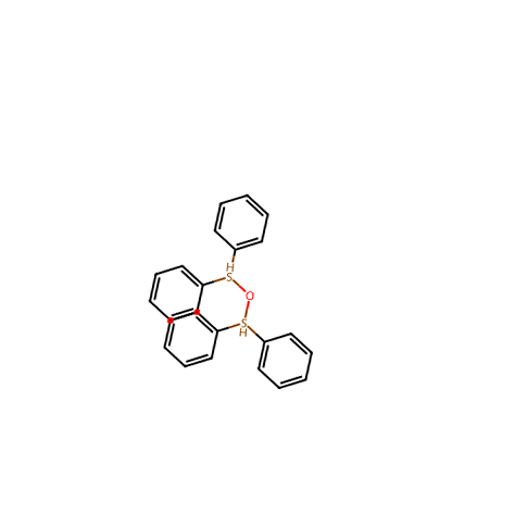 c1ccc([SH](O[SH](c2ccccc2)c2ccccc2)c2ccccc2)cc1